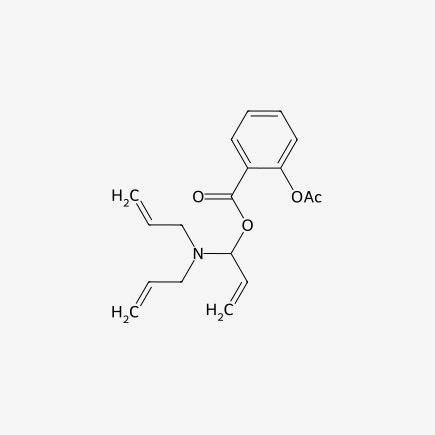 C=CCN(CC=C)C(C=C)OC(=O)c1ccccc1OC(C)=O